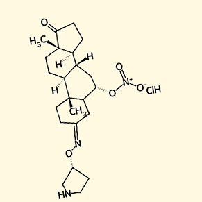 C[C@]12CC/C(=N\O[C@@H]3CCNC3)CC1[C@@H](O[N+](=O)[O-])C[C@@H]1[C@@H]2CC[C@]2(C)C(=O)CC[C@@H]12.Cl